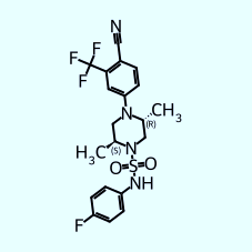 C[C@@H]1CN(S(=O)(=O)Nc2ccc(F)cc2)[C@@H](C)CN1c1ccc(C#N)c(C(F)(F)F)c1